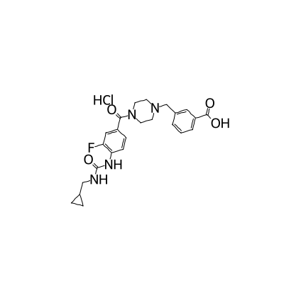 Cl.O=C(NCC1CC1)Nc1ccc(C(=O)N2CCN(Cc3cccc(C(=O)O)c3)CC2)cc1F